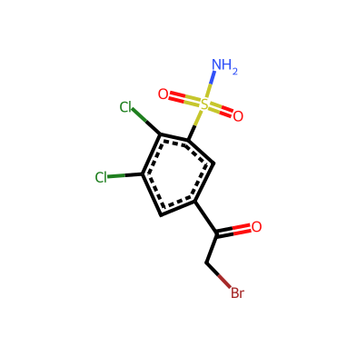 NS(=O)(=O)c1cc(C(=O)CBr)cc(Cl)c1Cl